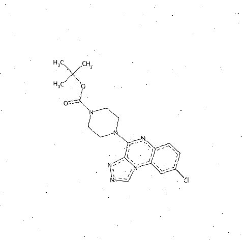 CC(C)(C)OC(=O)N1CCN(c2nc3ccc(Cl)cc3n3cnnc23)CC1